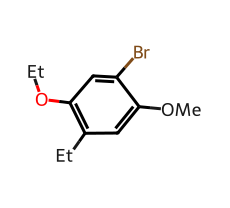 CCOc1cc(Br)c(OC)cc1CC